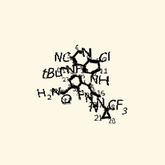 CC(C)(C)CNc1c(C#N)cnc2c(Cl)cc(NC(c3cn(C4(C(F)(F)F)CC4)nn3)c3cccc(C(N)=O)c3F)cc12